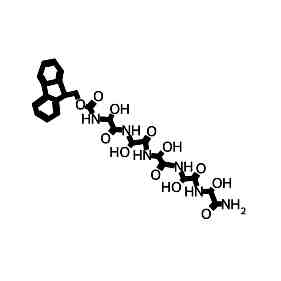 NC(=O)C(O)NC(=O)C(O)NC(=O)C(O)NC(=O)C(O)NC(=O)C(O)NC(=O)OCC1c2ccccc2-c2ccccc21